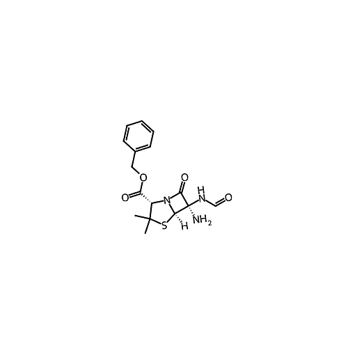 CC1(C)S[C@H]2N(C(=O)[C@@]2(N)NC=O)[C@H]1C(=O)OCc1ccccc1